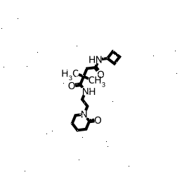 CC(C)(CC(=O)NC1CCC1)C(=O)NCCN1CCCCC1=O